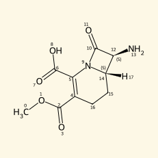 COC(=O)C1=C(C(=O)O)N2C(=O)[C@@H](N)[C@@H]2CC1